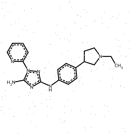 CCN1CCC(c2ccc(Nc3nc(N)n(-c4ccccn4)n3)cc2)C1